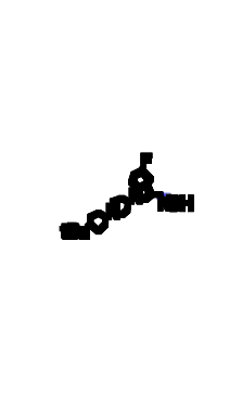 CC(C)(C)C1CCC(N2CCC(n3cc(/C=N/O)c4cc(F)ccc43)CC2)CC1